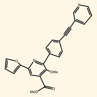 COC(=O)c1cc(-c2ccco2)nc(-c2ccc(C#Cc3cccnc3)cc2)c1OC